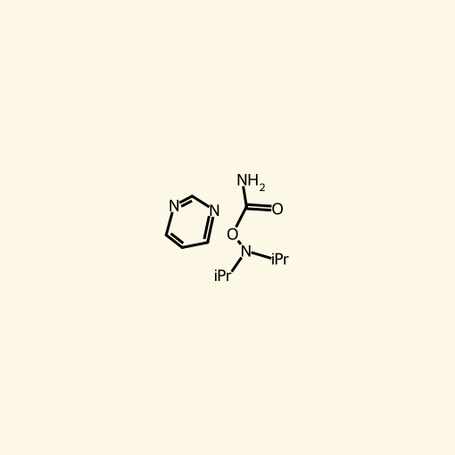 CC(C)N(OC(N)=O)C(C)C.c1cncnc1